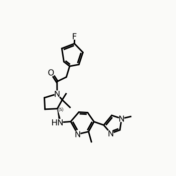 Cc1nc(N[C@H]2CCN(C(=O)Cc3ccc(F)cc3)C2(C)C)ccc1-c1cn(C)cn1